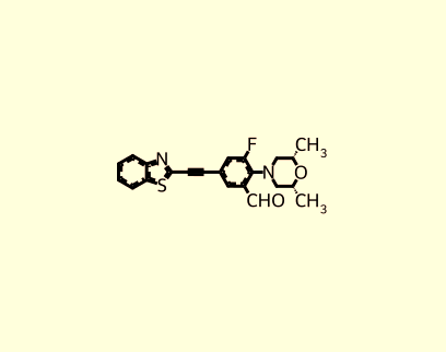 C[C@@H]1CN(c2c(F)cc(C#Cc3nc4ccccc4s3)cc2C=O)C[C@H](C)O1